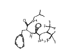 CC(C)CNC(=O)C(Cc1ccccc1)NC(=O)C(N)C(C(F)(F)F)C(F)(F)F